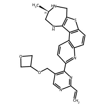 C=Cc1ncc(COC2COC2)c(-c2ccc3c(ccc4sc5c(c43)NC[C@@H](C)NC5)n2)n1